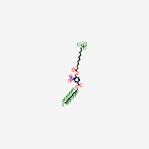 O=C(CCCCCCCCCC[Si](Cl)(Cl)Cl)OCc1ccc(C(=O)OCC(F)(F)C(F)(F)C(F)(F)C(F)(F)C(F)(F)C(F)(F)C(F)(F)F)cc1[N+](=O)[O-]